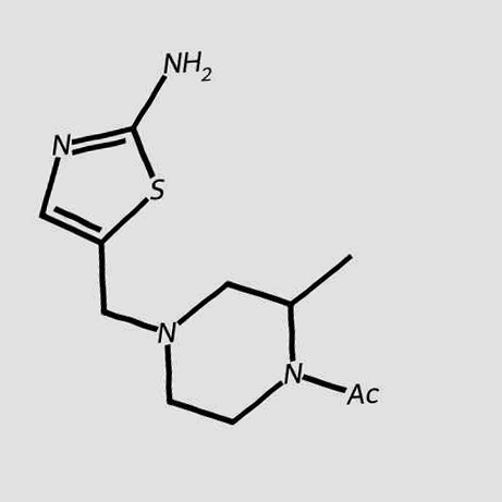 CC(=O)N1CCN(Cc2cnc(N)s2)CC1C